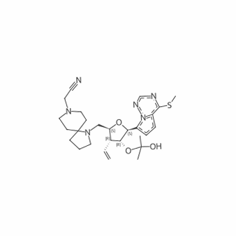 C=C[C@H]1[C@@H](OC(C)(C)O)[C@H](c2ccc3c(SC)ncnn23)O[C@@H]1CN1CCCC12CCN(CC#N)CC2